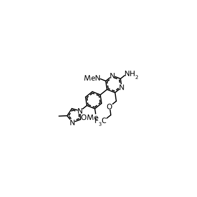 CNc1nc(N)nc(COCC(F)(F)F)c1-c1ccc(-n2cnc(C)c2)c(OC)c1